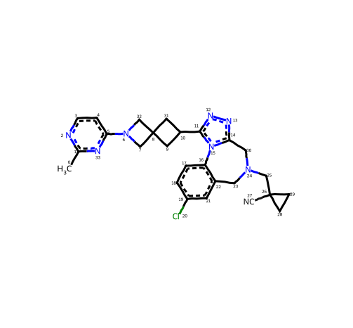 Cc1nccc(N2CC3(CC(c4nnc5n4-c4ccc(Cl)cc4CN(CC4(C#N)CC4)C5)C3)C2)n1